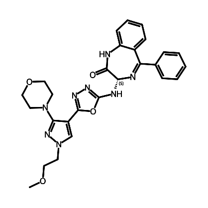 COCCn1cc(-c2nnc(N[C@H]3N=C(c4ccccc4)c4ccccc4NC3=O)o2)c(N2CCOCC2)n1